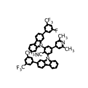 Cc1cc(-c2ccc3c4ccccc4n(-c4cc(-c5cc(C)nc(C)c5)cc(-n5c6ccccc6c6ccc(-c7cc(F)cc(C(F)(F)F)c7)cc65)c4C#N)c3c2)cc(C(F)(F)F)c1